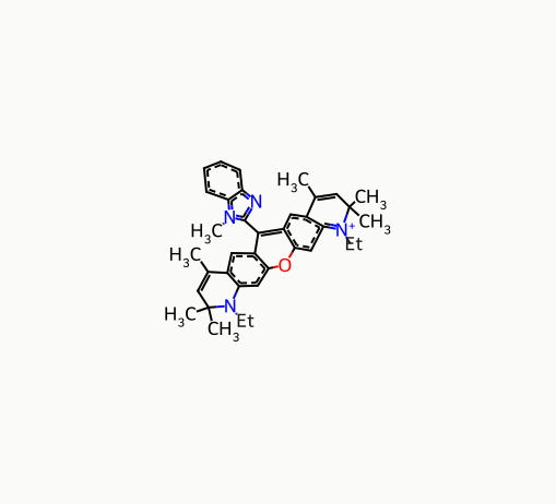 CCN1c2cc3c(cc2C(C)=CC1(C)C)C(c1nc2ccccc2n1C)=c1cc2c(cc1O3)=[N+](CC)C(C)(C)C=C2C